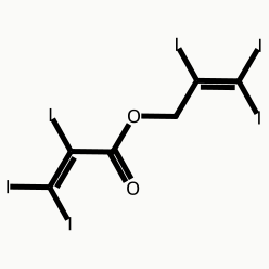 O=C(OCC(I)=C(I)I)C(I)=C(I)I